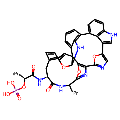 CC(C)C1NC(=O)[C@@H](NC(=O)[C@@H](OP(=O)(O)O)C(C)C)Cc2ccc3c(c2)C24c5cccc(c5NC2O3)-c2cccc3[nH]cc(c23)-c2cnc(o2)-c2nc1oc24